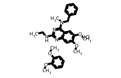 CCNc1nc(N(C)Cc2ccccc2)c2cc(OC)c(OC)cc2n1.COc1ccccc1OC.Cl